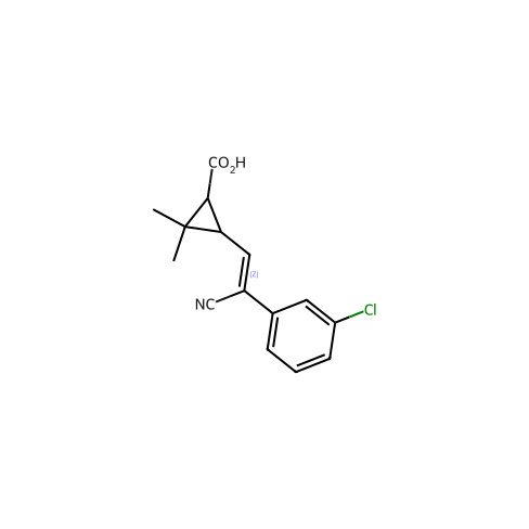 CC1(C)C(/C=C(\C#N)c2cccc(Cl)c2)C1C(=O)O